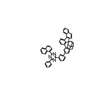 c1ccc(-c2nc(-c3cccc(-c4cccc(-c5cccc6c5C5(c7ccc8ccccc8c7-6)C6CC7CC(C6)CC5C7)c4)c3)nc(-c3cccc4ccccc34)n2)cc1